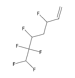 C=CC(F)CC(F)C(F)(F)C(F)F